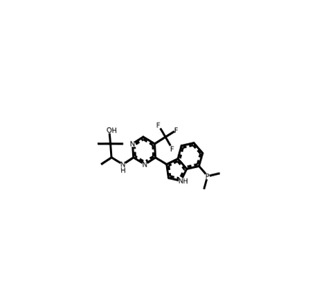 CC(Nc1ncc(C(F)(F)F)c(-c2c[nH]c3c(P(C)C)cccc23)n1)C(C)(C)O